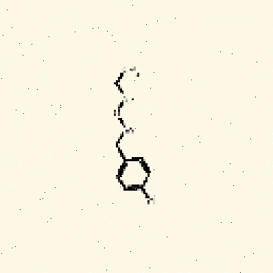 CCNONCc1ccc(Cl)cc1